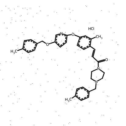 Cc1ccc(COc2ccc(Oc3ccc(C=CC(=O)N4CCN(Cc5ccc(C)cc5)CC4)c(C)c3)nc2)cc1.Cl